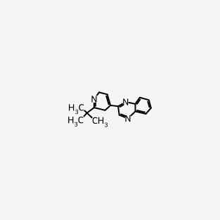 CC(C)(C)C1=NCC=C(c2cnc3ccccc3n2)C1